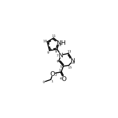 CCOC(=O)C1=CN(c2ccc[nH]2)C=NC1